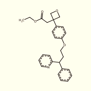 CCOC(=O)CC1(c2ccc(OCCC(c3ccccc3)c3ccccn3)cc2)COC1